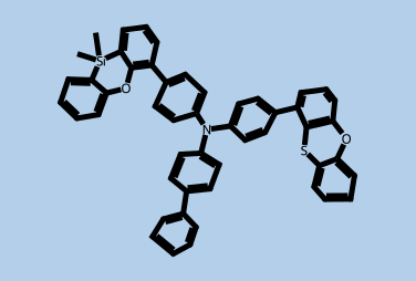 C[Si]1(C)c2ccccc2Oc2c(-c3ccc(N(c4ccc(-c5ccccc5)cc4)c4ccc(-c5cccc6c5Sc5ccccc5O6)cc4)cc3)cccc21